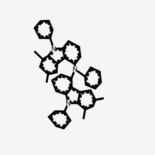 Cc1cc(C)c2c(c1)c1c(N(c3ccccc3)c3cccc4c3c3cc(C)cc(C)c3n4-c3ccccc3)cccc1n2-c1ccccc1